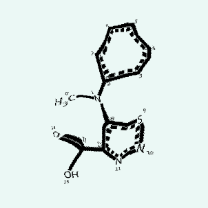 CN(c1ccccc1)c1snnc1C(=O)O